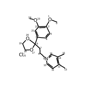 COc1ccc(C2(CC[n+]3ccc(C)c(C)c3)OCCO2)cc1OC.[Cl-]